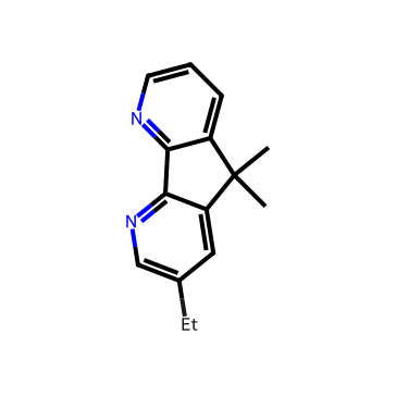 CCc1cnc2c(c1)C(C)(C)c1cccnc1-2